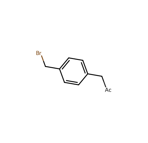 CC(=O)Cc1ccc(CBr)cc1